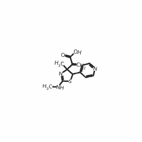 C=C(C(=O)O)C1(C)N=C(NC)SC1c1ccncc1